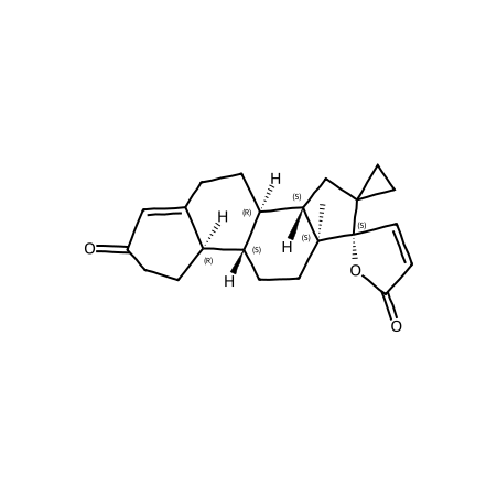 C[C@]12CC[C@H]3[C@@H](CCC4=CC(=O)CC[C@@H]43)[C@@H]1CC1(CC1)[C@@]21C=CC(=O)O1